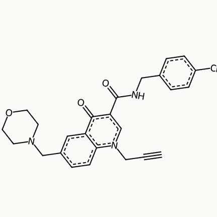 C#CCn1cc(C(=O)NCc2ccc(Cl)cc2)c(=O)c2cc(CN3CCOCC3)ccc21